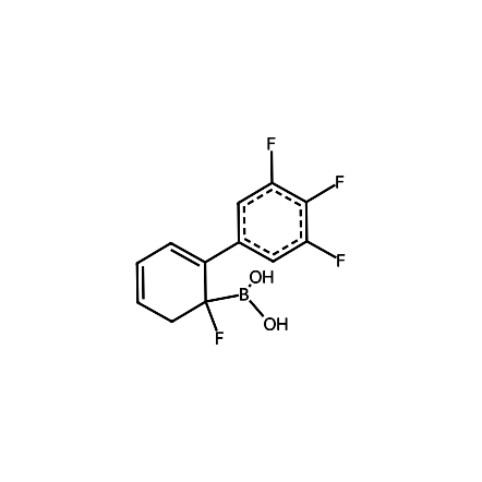 OB(O)C1(F)CC=CC=C1c1cc(F)c(F)c(F)c1